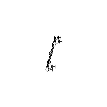 OCC(O)COCCCCOCCCCOCC(O)CO